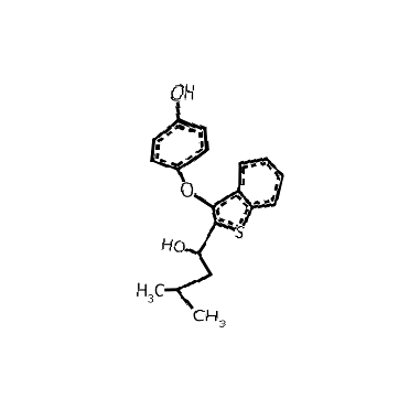 CC(C)CC(O)c1sc2ccccc2c1Oc1ccc(O)cc1